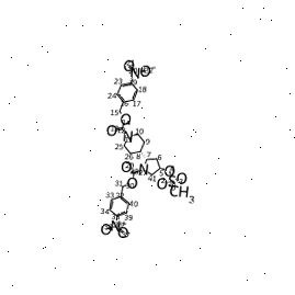 CS(=O)(=O)O[C@@H]1C[C@@H](C2CCN(C(=O)OCc3ccc([N+](=O)[O-])cc3)CC2)N(C(=O)OCc2ccc([N+](=O)[O-])cc2)C1